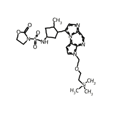 CC1C[C@H](NS(=O)(=O)N2CCOC2=O)CC1c1cnc2cnc3c(ccn3COCC[Si](C)(C)C)n12